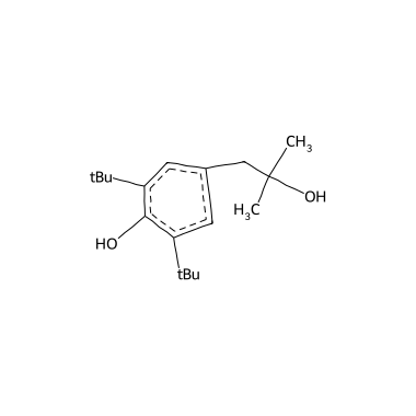 CC(C)(O)Cc1cc(C(C)(C)C)c(O)c(C(C)(C)C)c1